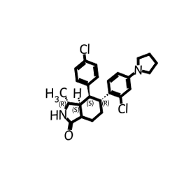 C[C@H]1NC(=O)C2CC[C@@H](c3ccc(N4CCCC4)cc3Cl)[C@H](c3ccc(Cl)cc3)[C@@H]21